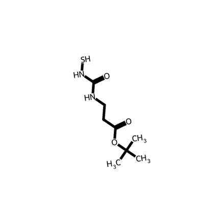 CC(C)(C)OC(=O)CCNC(=O)NS